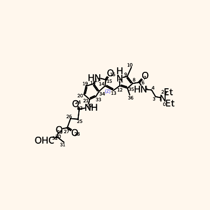 CCN(CC)CCNC(=O)c1c(C)[nH]c(/C=C2\C(=O)Nc3ccc(NC(=O)CCC(=O)OC(C)C=O)cc32)c1C